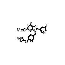 COc1nc(C)c2nc(-c3cncc(F)c3)n(Cc3ccc(OC4CN(C)C4)nc3)c2n1